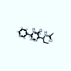 CCC(NC(C)=O)c1nnc(-c2cccnc2)[nH]c1=O